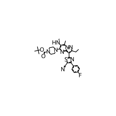 CCc1nn2c(C)c(NC)c(N3CCN(C(=O)OC(C)(C)C)CC3)nc2c1-c1nc(-c2ccc(F)cc2)c(C#N)s1